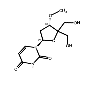 CO[C@H]1C[C@H](n2ccc(=O)[nH]c2=O)OC1(CO)CO